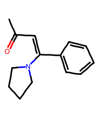 CC(=O)C=C(c1ccccc1)N1CCCC1